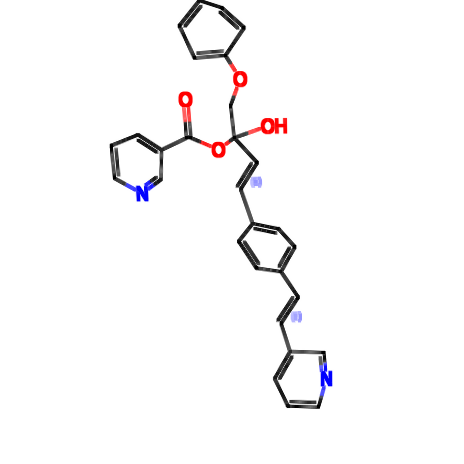 O=C(OC(O)(/C=C/c1ccc(/C=C/c2cccnc2)cc1)COc1ccccc1)c1cccnc1